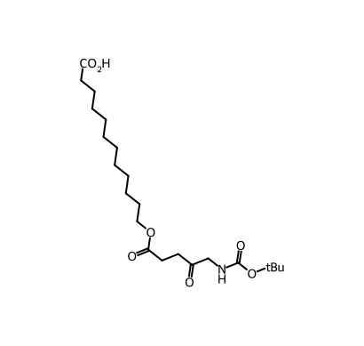 CC(C)(C)OC(=O)NCC(=O)CCC(=O)OCCCCCCCCCCCC(=O)O